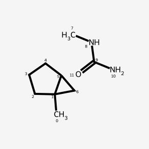 CC12CCCC1C2.CNC(N)=O